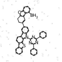 Bc1cccc2oc3c(c12)C=C(c1ccc2c(c1)c1ccc4c5ccccc5sc4c1n2-c1nc(-c2ccccc2)nc(-c2ccccc2)n1)CC3